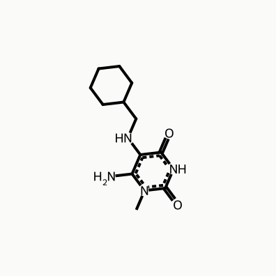 Cn1c(N)c(NCC2CCCCC2)c(=O)[nH]c1=O